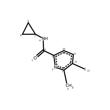 Cc1nc(C(=O)NC2CC2)ccc1I